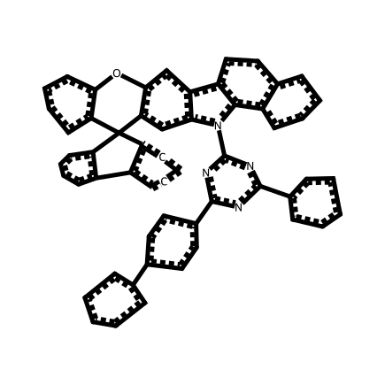 c1ccc(-c2ccc(-c3nc(-c4ccccc4)nc(-n4c5cc6c(cc5c5ccc7ccccc7c54)Oc4ccccc4C64c5ccccc5-c5ccccc54)n3)cc2)cc1